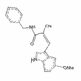 COc1ccc2[nH]cc(C=C(C#N)C(=O)NCc3ccccc3)c2c1